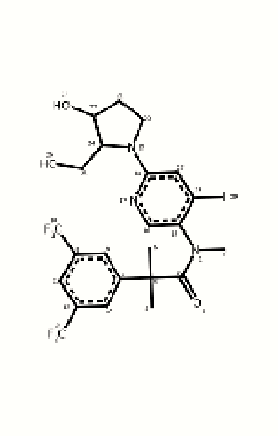 CN(C(=O)C(C)(C)c1cc(C(F)(F)F)cc(C(F)(F)F)c1)c1cnc(N2CCC(O)C2CO)cc1I